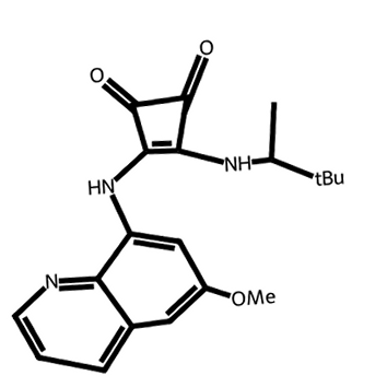 COc1cc(Nc2c(NC(C)C(C)(C)C)c(=O)c2=O)c2ncccc2c1